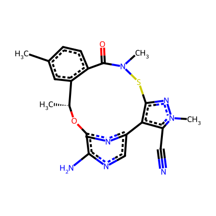 Cc1ccc2c(c1)[C@@H](C)Oc1nc(cnc1N)-c1c(nn(C)c1C#N)SN(C)C2=O